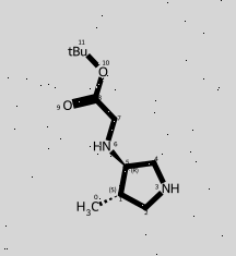 C[C@H]1CNC[C@@H]1NCC(=O)OC(C)(C)C